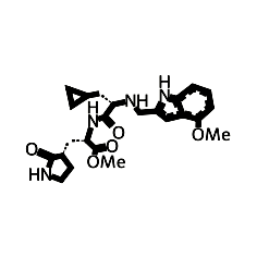 COC(=O)[C@H](C[C@@H]1CCNC1=O)NC(=O)[C@H](CC1CC1)NCc1cc2c(OC)cccc2[nH]1